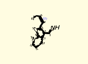 N=Cc1c(/C=C\I)oc2ncccc12